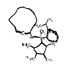 CC1C(C)C(C)C([Si@@](C)(NC2CCCCCCCCCCC2)c2ccccc2N(C)C)C1C